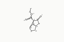 CCOC(=O)C12C(=O)CC3CCC1C32